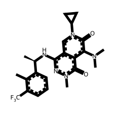 Cc1c([C@@H](C)Nc2nn(C)c(=O)c3c(N(C)C)c(=O)n(C4CC4)cc23)cccc1C(F)(F)F